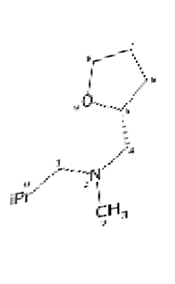 CC(C)CN(C)C[C@H]1CCCO1